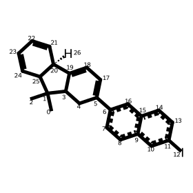 CC1(C)C2CC(c3ccc4cc(I)ccc4c3)=CC=C2[C@@H]2C=CC=CC21